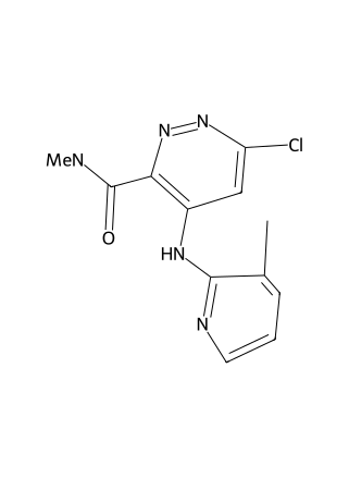 CNC(=O)c1nnc(Cl)cc1Nc1ncccc1C